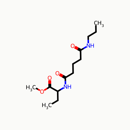 CCCNC(=O)CCCC(=O)NC(CC)C(=O)OC